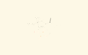 C=C(CCC(NC)(NC)NC)C(=O)O.COS(=O)(=O)O